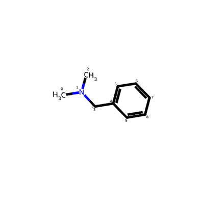 CN(C)[C]c1ccccc1